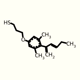 C=C(/C=C/CC)c1c(C)cc(OCCCS)cc1C